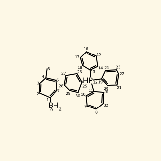 Bc1ccc(C)cc1.c1ccc([PH](c2ccccc2)(c2ccccc2)c2ccccc2)cc1